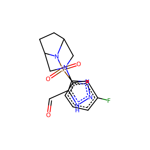 O=Cc1[nH]nnc1N1CC2CCC(C1)N2S(=O)(=O)c1cccc(F)c1